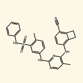 Cc1ccc(Nc2ncc(C)c(Nc3ccc(C#N)c4c3CC4)n2)cc1S(=O)(=O)Nc1ccccc1